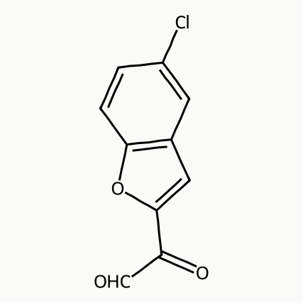 O=CC(=O)c1cc2cc(Cl)ccc2o1